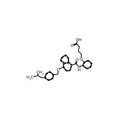 CC(C)Cc1ccc(COc2ccc(C(=O)Nc3ccccc3OCCCC(=O)O)c3ccccc23)cc1